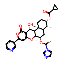 C[C@@H]1C2C[C@H](OC(=S)n3ccnc3)[C@@]3(C)Oc4cc(-c5cccnc5)oc(=O)c4[C@H](O)C3[C@@]2(C)CC[C@@H]1OC(=O)C1CC1